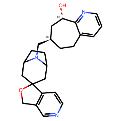 O[C@H]1C[C@H](CN2C3CCC2CC2(C3)OCc3cnccc32)CCc2cccnc21